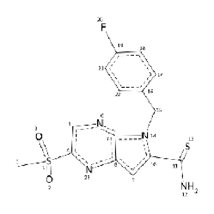 CS(=O)(=O)c1cnc2c(cc(C(N)=S)n2Cc2ccc(F)cc2)n1